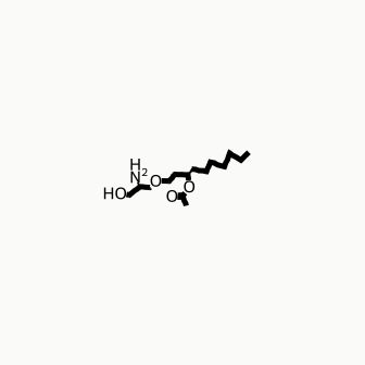 CCCCCCC[C@H](CCOC[C@@H](N)CO)OC(C)=O